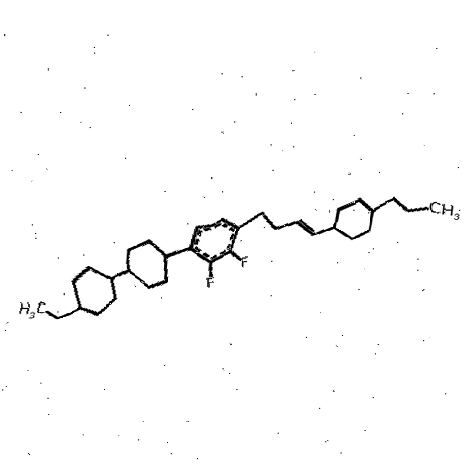 CCCC1CCC(/C=C/CCc2ccc(C3CCC(C4CCC(CC)CC4)CC3)c(F)c2F)CC1